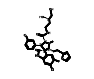 CN1[C@@H](C(=O)NCC[C@H](O)CO)[C@H](c2cccc(Cl)c2)[C@@]2(C(=O)Nc3cc(Cl)c(F)cc32)[C@H]1CCc1cccs1